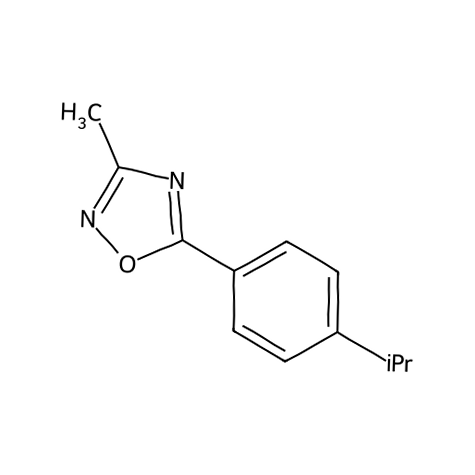 Cc1noc(-c2ccc(C(C)C)cc2)n1